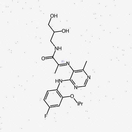 C/C(=N\c1c(C)ncnc1Nc1ccc(F)cc1OC(C)C)C(=O)NCC(O)CO